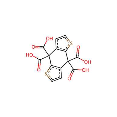 O=C(O)C1(C(=O)O)c2ccsc2C(C(=O)O)(C(=O)O)c2ccsc21